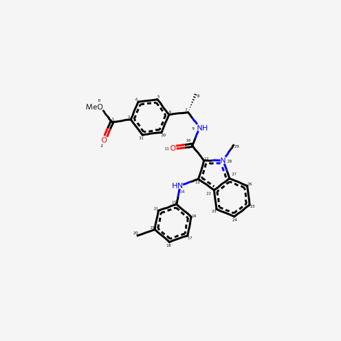 COC(=O)c1ccc([C@H](C)NC(=O)c2c(Nc3cccc(C)c3)c3ccccc3n2C)cc1